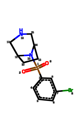 O=S(=O)(c1cccc(Br)c1)N1C2CCC1CNC2